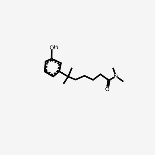 CN(C)C(=O)CCCCC(C)(C)c1cccc(O)c1